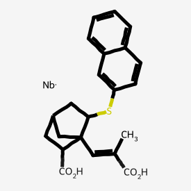 CC(=CC12CC(CC1Sc1ccc3ccccc3c1)CC2C(=O)O)C(=O)O.[Nb]